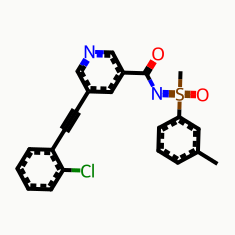 Cc1cccc(S(C)(=O)=NC(=O)c2cncc(C#Cc3ccccc3Cl)c2)c1